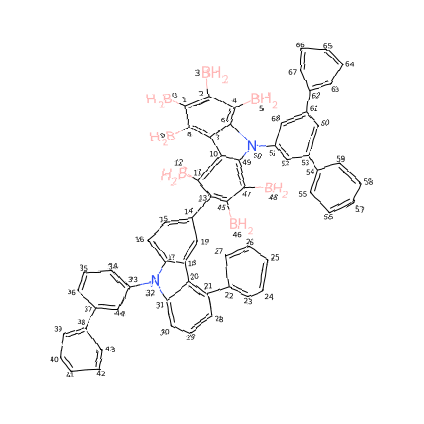 Bc1c(B)c(B)c2c(c1B)c1c(B)c(-c3ccc4c(c3)c3c(-c5ccccc5)cccc3n4-c3cccc(-c4ccccc4)c3)c(B)c(B)c1n2-c1cc(-c2ccccc2)cc(-c2ccccc2)c1